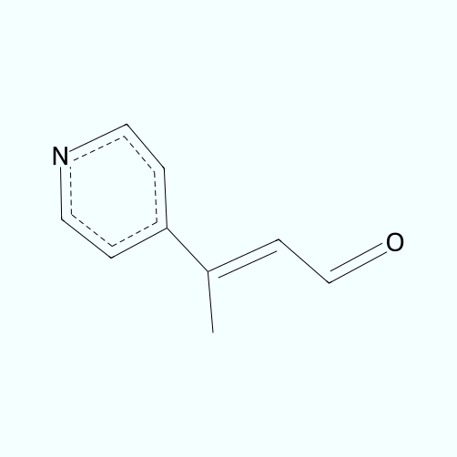 CC(=CC=O)c1ccncc1